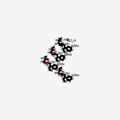 C=C[C@H]1CN2CC[C@H]1C[C@@H]2[C@@H](O)c1ccnc2ccc(OC)cc12.C=C[C@H]1C[N@]2CC[C@H]1C[C@@H]2[C@@H](O)c1ccnc2ccc(OC)cc12.C=C[C@H]1C[N@]2CC[C@H]1C[C@@H]2[C@@H](O)c1ccnc2ccc(OC)cc12.C=C[C@H]1C[N@]2CC[C@H]1C[C@@H]2[C@@H](O)c1ccnc2ccc(OC)cc12.O=S(=O)(O)O